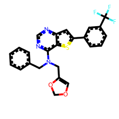 FC(F)(F)c1cccc(-c2cc3ncnc(N(CC4=COCO4)Cc4ccccc4)c3s2)c1